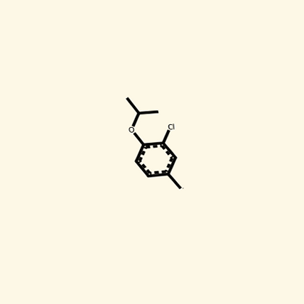 [CH2]c1ccc(OC(C)C)c(Cl)c1